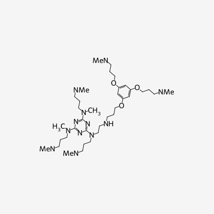 CNCCCOc1cc(OCCCNC)cc(OCCCNCCN(CCCNC)c2nc(N(C)CCCNC)nc(N(C)CCCNC)n2)c1